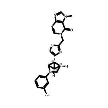 CC(=O)c1cccc(N2C[C@@H]3[C@@H]4C2[C@@]34c2noc(Cn3cnc4ncn(C)c4c3=O)n2)c1